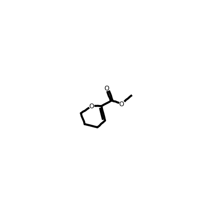 COC(=O)C1=CCCCO1